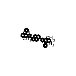 CC12CCCCC1(C)C(c1ccccc1)c1ccc(-c3ccc4c5c6c(ccc35)C=CC(c3ccc5c(c3)CC3(C)CCCCC3(C)N5c3ccccc3)C6=CC4)cc1C2